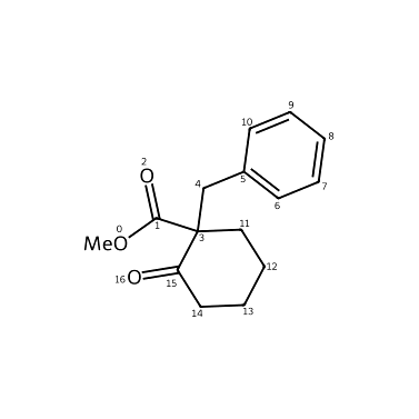 COC(=O)C1(Cc2ccccc2)CCCCC1=O